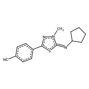 Cn1nc(-c2ccc(C#N)cc2)s/c1=N/C1CCCC1